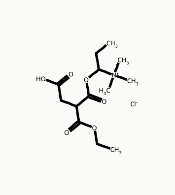 CCOC(=O)C(CC(=O)O)C(=O)OC(CC)[N+](C)(C)C.[Cl-]